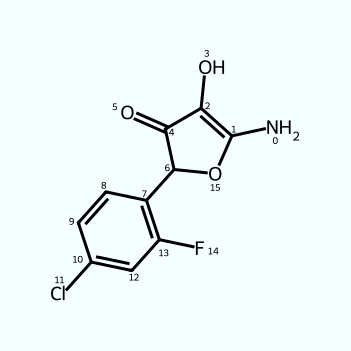 NC1=C(O)C(=O)C(c2ccc(Cl)cc2F)O1